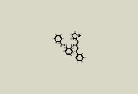 c1ccc(CCC(CC2=NCCN2)Oc2ccccc2OCc2ccccc2)cc1